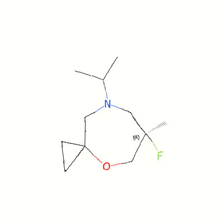 CC(C)N1CC2(CC2)OC[C@](C)(F)C1